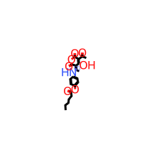 CCCCCC(=O)Oc1ccc(N/C(C)=C2\C(=O)OC(=O)C(C(C)=O)=C2O)cc1